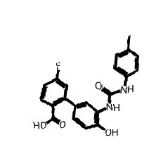 Cc1ccc(NC(=O)Nc2cc(-c3cc(F)ccc3C(=O)O)ccc2O)cc1